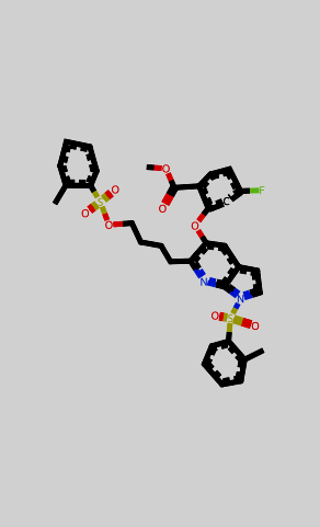 COC(=O)c1ccc(F)cc1Oc1cc2ccn(S(=O)(=O)c3ccccc3C)c2nc1CCCCOS(=O)(=O)c1ccccc1C